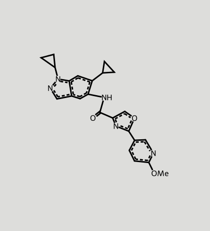 COc1ccc(-c2nc(C(=O)Nc3cc4cnn(C5CC5)c4cc3C3CC3)co2)cn1